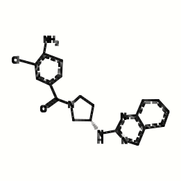 Nc1ccc(C(=O)N2CC[C@H](Nc3ncc4ccccc4n3)C2)cc1Cl